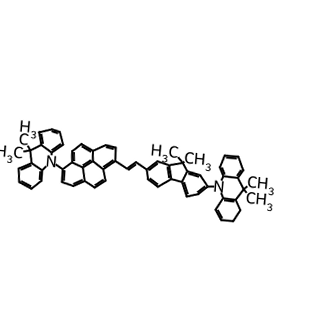 CC1(C)C2=C(C=CCC2)N(c2ccc3c(c2)C(C)(C)c2cc(/C=C/c4ccc5ccc6c(N7c8ccccc8C(C)(C)c8ccccc87)ccc7ccc4c5c76)ccc2-3)c2ccccc21